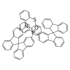 O=P(c1ccccc1)(c1ccc2c(c1)C1(c3ccccc3-c3ccc(N4c5ccccc5Sc5ccccc54)cc31)c1ccccc1-2)c1ccc2c(c1)C1(c3ccccc3-2)c2ccccc2C2C=CC=CC21